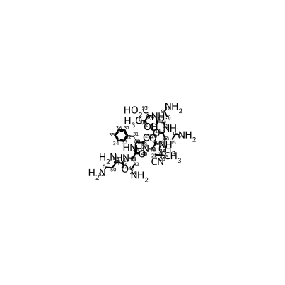 C[C@@H](O)[C@H](NC(=O)[C@H](CCN)NC(=O)[C@H](CCN)NC(=O)[C@H](CC(C)(C)C#N)NC(=O)[C@@H](Cc1ccccc1)NC(=O)[C@H](CCN)NC(=O)[C@@H](N)CCN)C(=O)O